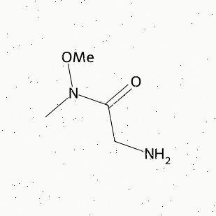 CON(C)C(=O)CN